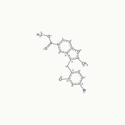 COC(=O)c1ccc2oc(C)c(Cc3ccc(Br)cc3Cl)c2c1